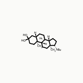 CCCC[C@H]1CC[C@H]2[C@@H]3CC[C@H]4CC(O)(O)CC[C@]4(C)[C@H]3CC[C@]12C